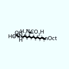 CCCCCCCCC=CCCCCCCCCCNCC(O)O.NCC(=O)O